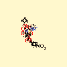 CC(C)OC1=C(C(=O)OCc2ccccc2)N2C(=O)[C@H](C(C)OC(=O)OCc3ccc([N+](=O)[O-])cc3)[C@H]2[S+]([O-])C1=[N+]=[N-]